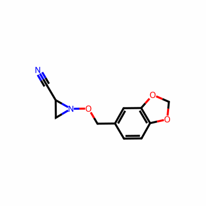 N#CC1CN1OCc1ccc2c(c1)OCO2